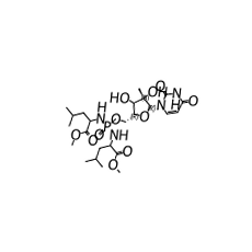 COC(=O)C(CC(C)C)NP(=O)(NC(CC(C)C)C(=O)OC)OC[C@H]1O[C@@H](n2ccc(=O)[nH]c2=O)[C@@](C)(O)C1O